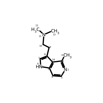 Cc1nccc2[nH]cc(CCN(C)C)c12